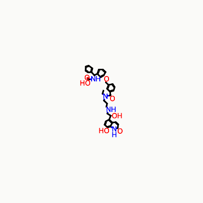 CCN(CCCNC[C@H](O)c1ccc(O)c2[nH]c(=O)ccc12)C(=O)c1cccc(COc2cccc([C@@H](NC(=O)O)c3ccccc3)c2)c1